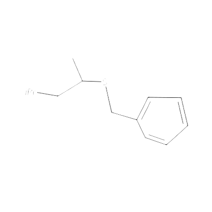 CC(C)CC(C)SCc1ccccc1